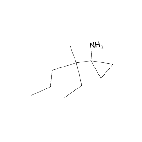 CCCC(C)(CC)C1(N)CC1